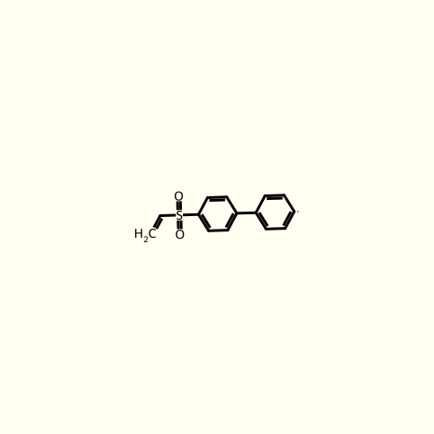 C=CS(=O)(=O)c1ccc(-c2cc[c]cc2)cc1